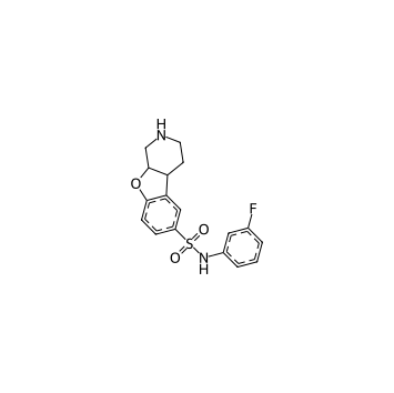 O=S(=O)(Nc1cccc(F)c1)c1ccc2c(c1)C1CCNCC1O2